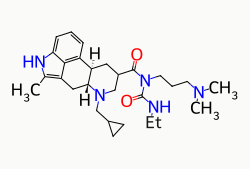 CCNC(=O)N(CCCN(C)C)C(=O)C1C[C@@H]2c3cccc4[nH]c(C)c(c34)C[C@H]2N(CC2CC2)C1